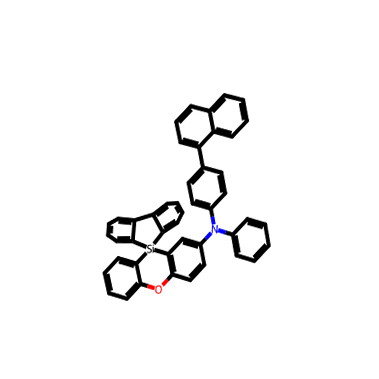 c1ccc(N(c2ccc(-c3cccc4ccccc34)cc2)c2ccc3c(c2)[Si]2(c4ccccc4O3)c3ccccc3-c3ccccc32)cc1